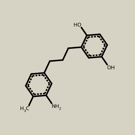 Cc1ccc(CCCc2cc(O)ccc2O)cc1N